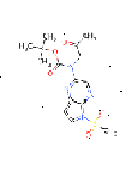 CC(=O)CN(C(=O)OC(C)(C)C)c1cnc2c(ccn2S(C)(=O)=O)n1